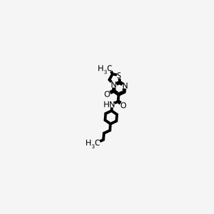 CCCCC1CCC(NC(=O)c2cnc3n(c2=O)CC(C)S3)CC1